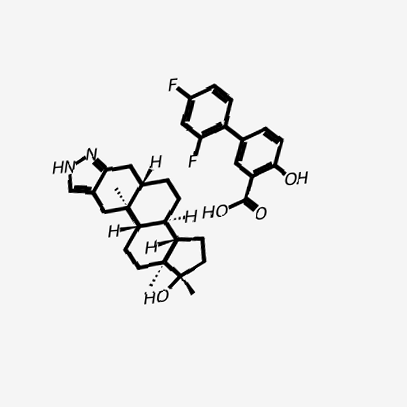 C[C@]12Cc3c[nH]nc3C[C@@H]1CC[C@@H]1[C@@H]2CC[C@@]2(C)[C@H]1CC[C@]2(C)O.O=C(O)c1cc(-c2ccc(F)cc2F)ccc1O